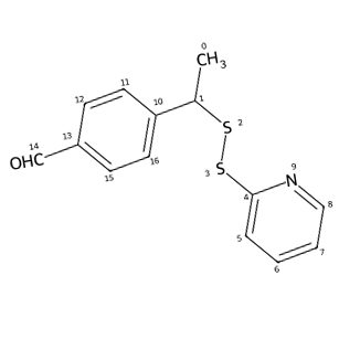 CC(SSc1ccccn1)c1ccc(C=O)cc1